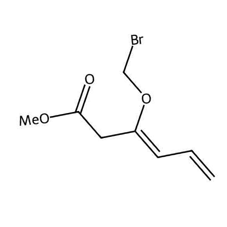 C=C/C=C(/CC(=O)OC)OCBr